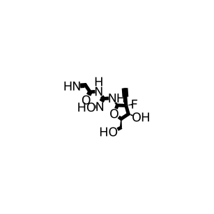 C#C[C@]1(F)[C@H](N/C(=N/O)NC(=O)C=N)O[C@H](CO)[C@H]1O